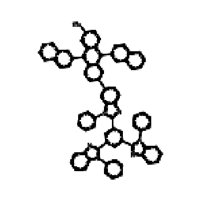 CC(C)(C)c1ccc2c(-c3ccc4ccccc4c3)c3cc(-c4ccc5nc(-c6cc(-c7nc8ccccc8n7-c7ccccc7)cc(-c7nc8ccccc8n7-c7ccccc7)c6)n(-c6ccccc6)c5c4)ccc3c(-c3ccc4ccccc4c3)c2c1